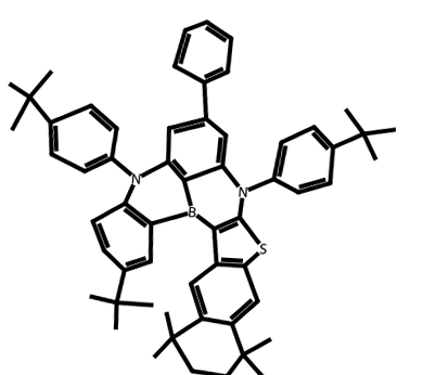 CC(C)(C)c1ccc(N2c3ccc(C(C)(C)C)cc3B3c4c2cc(-c2ccccc2)cc4N(c2ccc(C(C)(C)C)cc2)c2sc4cc5c(cc4c23)C(C)(C)CCC5(C)C)cc1